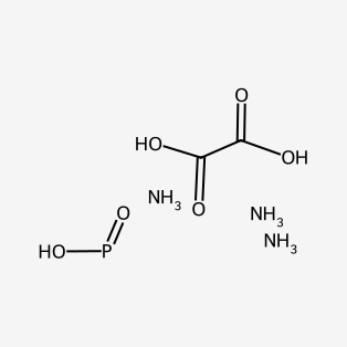 N.N.N.O=C(O)C(=O)O.O=PO